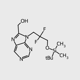 CC(C)(C)[Si](C)(C)OCC(F)(F)Cn1c(CO)nc2cncnc21